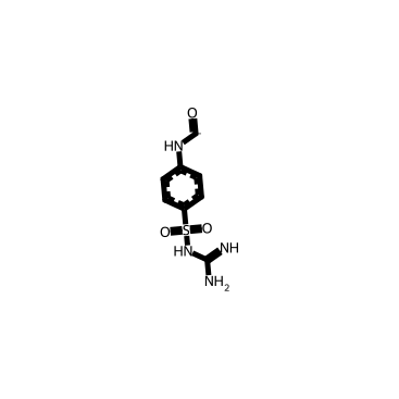 N=C(N)NS(=O)(=O)c1ccc(N[C]=O)cc1